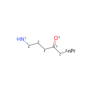 CCCCC(=O)CCC[NH]